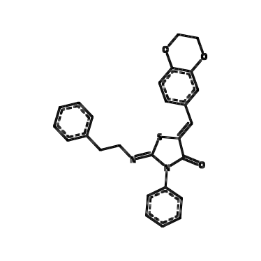 O=C1C(=Cc2ccc3c(c2)OCCO3)SC(=NCCc2ccccc2)N1c1ccccc1